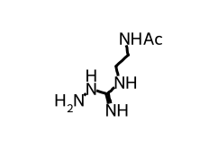 CC(=O)NCCNC(=N)NN